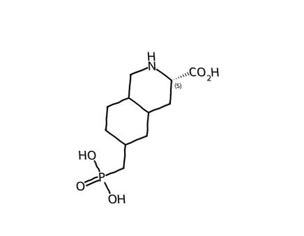 O=C(O)[C@@H]1CC2CC(CP(=O)(O)O)CCC2CN1